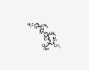 C=C(F)/C=C\C(F)=C(/C)c1cnc(N2C[C@@H](C)N(C/C=C/C(=C\C(=C)C)OCC(=O)O)[C@@H](C)C2)s1